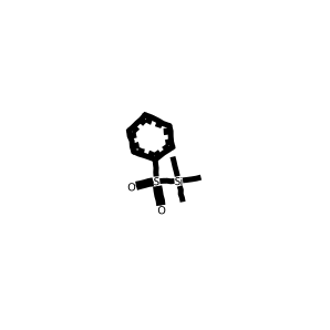 C[Si](C)(C)S(=O)(=O)c1ccccc1